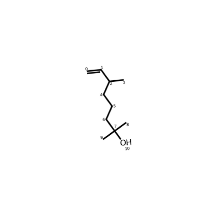 C=CC(C)CCCC(C)(C)O